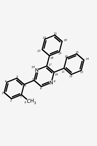 Cc1ccccc1-c1cnc(-c2ccccc2)c(-c2ccccc2)n1